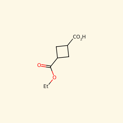 CCOC(=O)C1CC(C(=O)O)C1